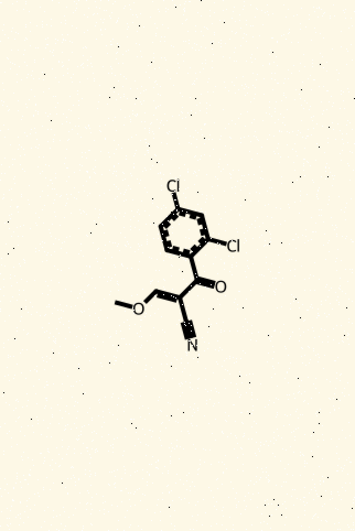 COC=C(C#N)C(=O)c1ccc(Cl)cc1Cl